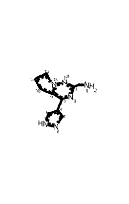 Nc1nc(-c2cn[nH]c2)c2cccn2n1